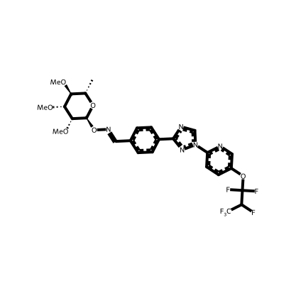 CO[C@@H]1[C@@H](OC)[C@H](C)O[C@@H](ON=Cc2ccc(-c3ncn(-c4ccc(OC(F)(F)C(F)C(F)(F)F)cn4)n3)cc2)[C@@H]1OC